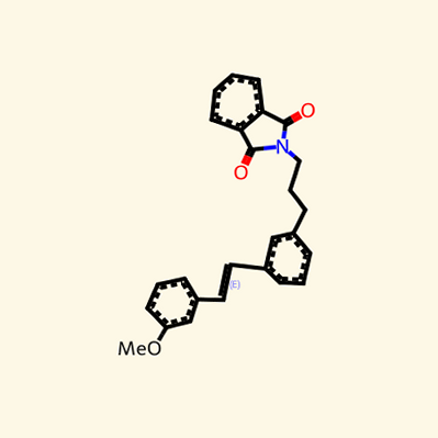 COc1cccc(/C=C/c2cccc(CCCN3C(=O)c4ccccc4C3=O)c2)c1